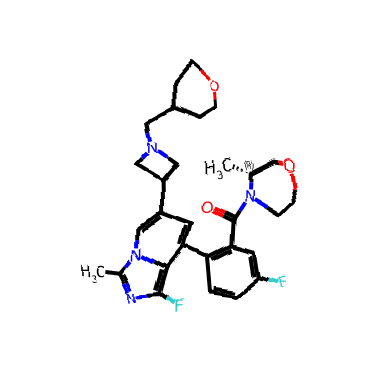 Cc1nc(F)c2c(-c3ccc(F)cc3C(=O)N3CCOC[C@H]3C)cc(C3CN(CC4CCOCC4)C3)cn12